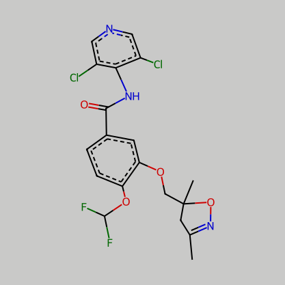 CC1=NOC(C)(COc2cc(C(=O)Nc3c(Cl)cncc3Cl)ccc2OC(F)F)C1